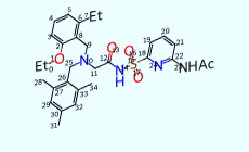 CCOc1cccc(CC)c1CN(CC(=O)NS(=O)(=O)c1cccc(NC(C)=O)n1)Cc1c(C)cc(C)cc1C